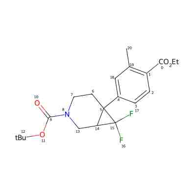 CCOC(=O)c1ccc(C23CCN(C(=O)OC(C)(C)C)CC2C3(F)F)cc1C